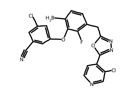 Bc1ccc(Cc2nnc(-c3ccncc3Cl)o2)c(F)c1Oc1cc(Cl)cc(C#N)c1